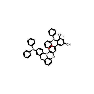 Cc1cc(C#N)cc(-c2ccc3c(c2)Oc2cccc4c2B3c2ccc(N(c3ccccc3)c3ccccc3)cc2S4)c1N(c1ccccc1)c1ccccc1